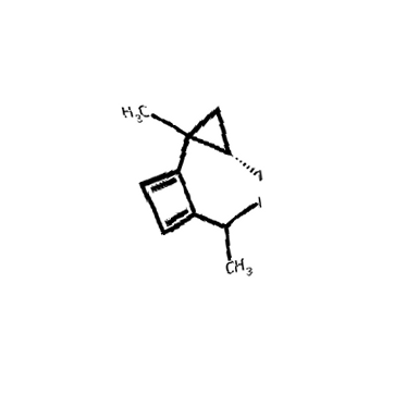 CC(I)C1=CC=C1C1(C)C[C@@H]1I